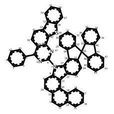 c1ccc(-c2nc(-n3c4ccc5ccc6ccccc6c5c4c4ccc5c(c43)-c3ccccc3C53c4ccccc4-c4ccccc43)nc3c2ccc2c4ccccc4sc23)cc1